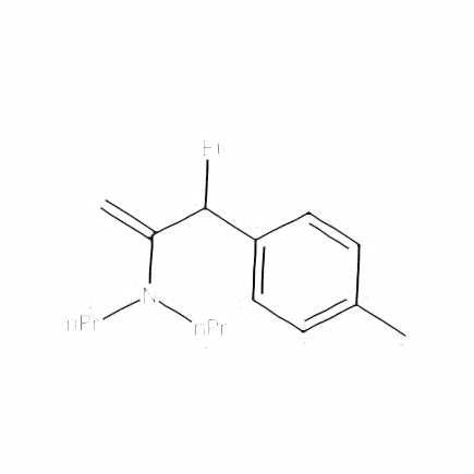 C=C(C(CC)c1ccc(C)cc1)N(CCC)CCC